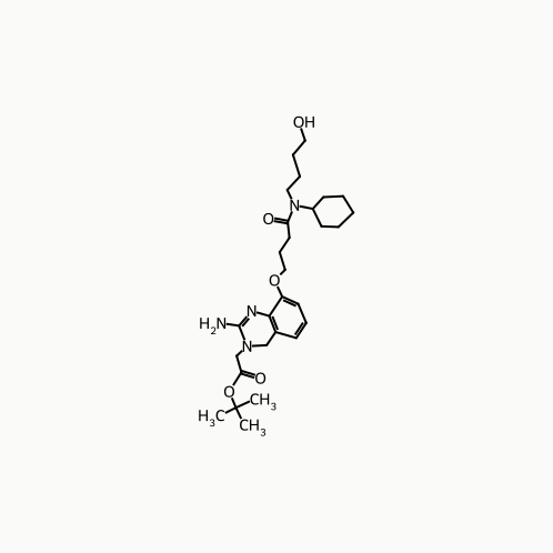 CC(C)(C)OC(=O)CN1Cc2cccc(OCCCC(=O)N(CCCCO)C3CCCCC3)c2N=C1N